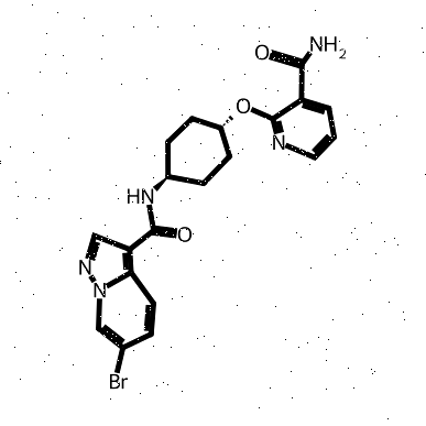 NC(=O)c1cccnc1O[C@H]1CC[C@H](NC(=O)c2cnn3cc(Br)ccc23)CC1